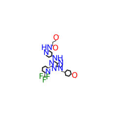 COCCC(=O)Nc1cc(Nc2nc(-c3cccc(C(F)(F)F)n3)nc3c2ncn3Cc2ccc(OC)cc2)ccn1